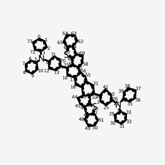 c1ccc(N(c2ccccc2)c2ccc(-c3cc4cc5c(cc(-c6ccc(N(c7ccccc7)c7ccccc7)cc6)c6c5ccc5c7ccccc7sc56)cc4c4ccc5c6ccccc6sc5c34)cc2)cc1